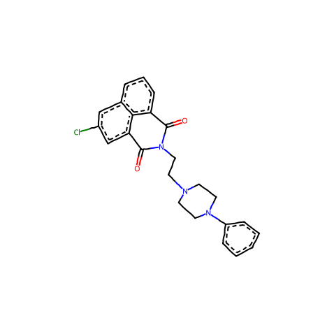 O=C1c2cccc3cc(Cl)cc(c23)C(=O)N1CCN1CCN(c2ccccc2)CC1